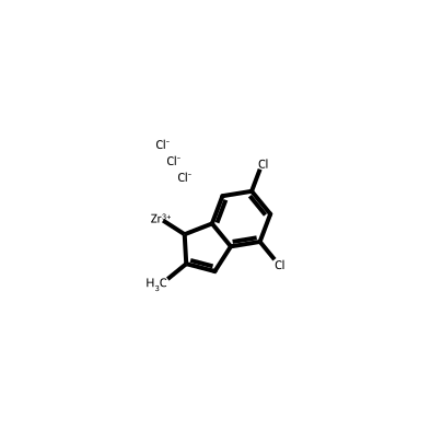 CC1=Cc2c(Cl)cc(Cl)cc2[CH]1[Zr+3].[Cl-].[Cl-].[Cl-]